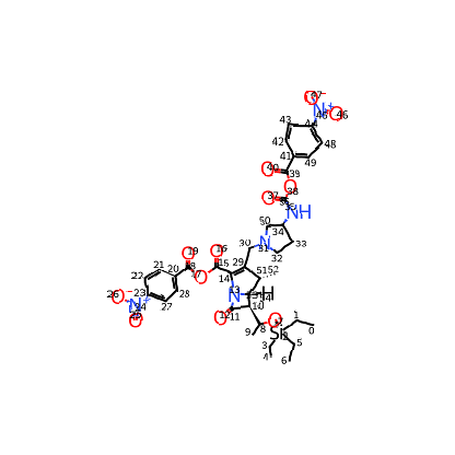 CC[Si](CC)(CC)OC(C)[C@H]1C(=O)N2C(C(=O)OC(=O)c3ccc([N+](=O)[O-])cc3)=C(CN3CC[C@H](NC(=O)OC(=O)c4ccc([N+](=O)[O-])cc4)C3)[C@H](C)[C@H]12